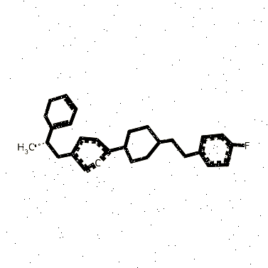 C[C@@H](Cc1ccc(C2CCC(CCc3ccc(F)cc3)CC2)cc1)C1=CC=CCC1